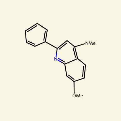 CNc1cc(-c2ccccc2)nc2cc(OC)ccc12